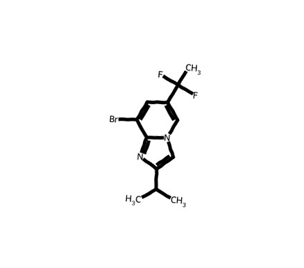 CC(C)c1cn2cc(C(C)(F)F)cc(Br)c2n1